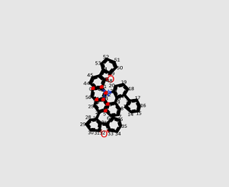 c1ccc(-c2ccccc2-c2c(-c3ccccc3)cccc2N(c2ccc(-c3cccc4oc5ccccc5c34)cc2)c2cccc3c2oc2ccccc23)cc1